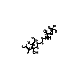 C/C=C(\C)C(O)(CCCCNC(=O)OC(C)(C)C)/C(C)=C/C